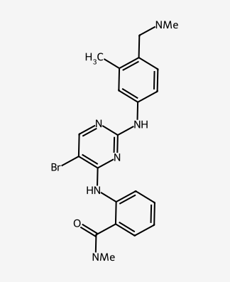 CNCc1ccc(Nc2ncc(Br)c(Nc3ccccc3C(=O)NC)n2)cc1C